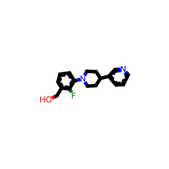 OCc1cccc(N2CCC(c3cccnc3)CC2)c1F